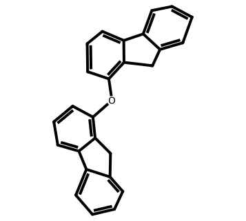 c1ccc2c(c1)Cc1c(Oc3cccc4c3Cc3ccccc3-4)cccc1-2